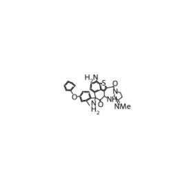 CNC1CCN(C(=O)c2sc3c(N)ccc4c3c2C(N)C(=O)C4(N)c2ccc(Oc3ccccc3)cc2C)C1